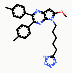 COc1cc2nc(-c3ccc(C)cc3)c(-c3ccc(C)cc3)nc2n1CCCCCc1nnn[nH]1